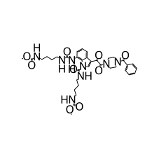 COC(=O)NCCCCNC(=O)Nc1cccc2c(C(=O)C(=O)N3CCN(C(=O)c4ccccc4)CC3)cn(C(=O)NCCCCNC(=O)OC)c12